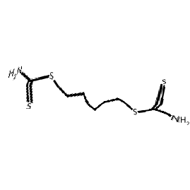 NC(=S)SCCCCSC(N)=S